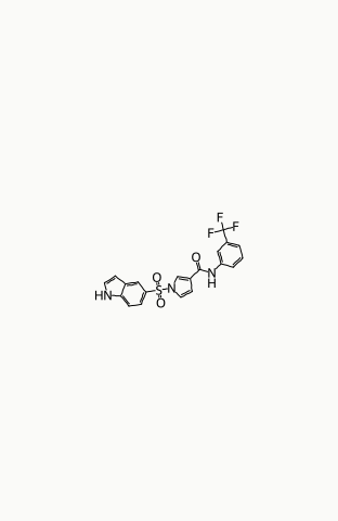 O=C(Nc1cccc(C(F)(F)F)c1)c1ccn(S(=O)(=O)c2ccc3[nH]ccc3c2)c1